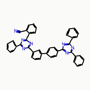 N#Cc1ccccc1-c1nc(-c2ccccc2)nc(-c2cccc(-c3ccc(-c4nc(-c5ccccc5)nc(-c5ccccc5)n4)cc3)c2)n1